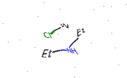 CCNCC.[Cl][W]